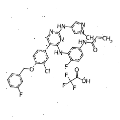 C=CC(=O)Nc1ccc(F)c(Nc2nc(Nc3cnn(C)c3)ncc2-c2ccc(OCc3cccc(F)c3)c(Cl)c2)c1.O=C(O)C(F)(F)F